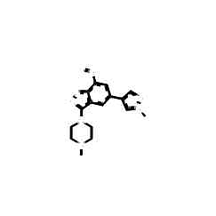 CN1CCN(c2noc3c([N+](=O)[O-])cc(-c4cnn(C)c4)cc23)CC1